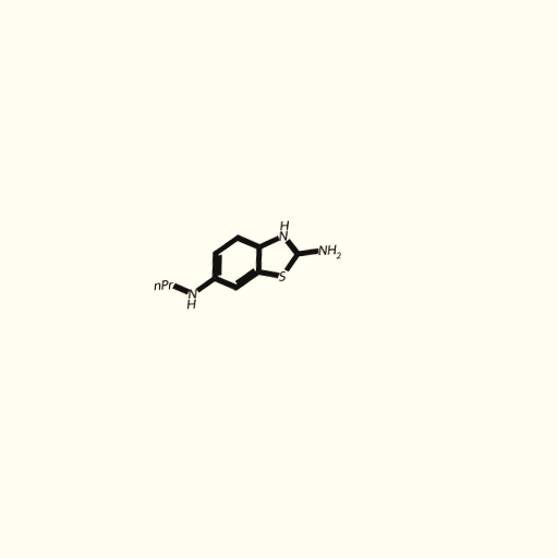 CCCNC1=CCC2NC(N)SC2=C1